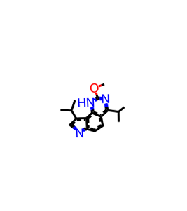 COc1nc(C(C)C)c2ccc3ncc(C(C)C)c3c2[nH]1